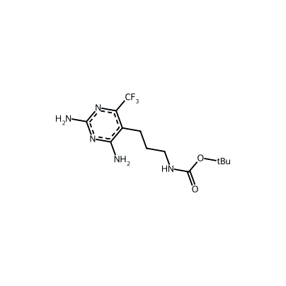 CC(C)(C)OC(=O)NCCCc1c(N)nc(N)nc1C(F)(F)F